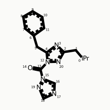 CC(C)Cc1nc(Cc2ccccc2)n(C(=O)n2cncn2)n1